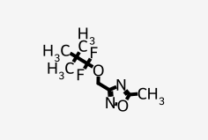 Cc1nc(COC(F)(F)C(C)(C)C)no1